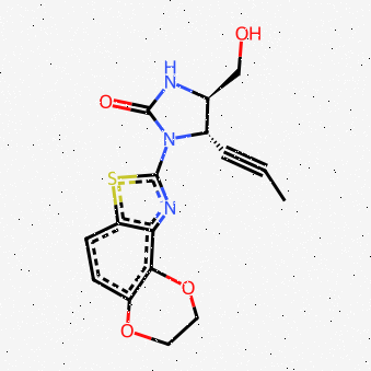 CC#C[C@H]1[C@H](CO)NC(=O)N1c1nc2c3c(ccc2s1)OCCO3